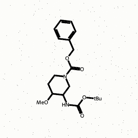 COC1CCN(C(=O)OCc2ccccc2)CC1NC(=O)OC(C)(C)C